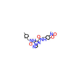 Cc1ccc(CNC(=O)c2cc(C(=O)NCc3ccc4oc(=O)n(C)c4c3)nc3ccnn23)cc1